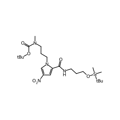 CN(CCCn1cc([N+](=O)[O-])cc1C(=O)NCCCO[Si](C)(C)C(C)(C)C)C(=O)OC(C)(C)C